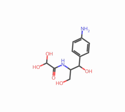 Nc1ccc(C(O)C(CO)NC(=O)C(O)O)cc1